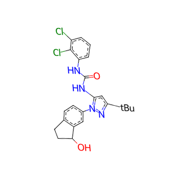 CC(C)(C)c1cc(NC(=O)Nc2cccc(Cl)c2Cl)n(-c2ccc3c(c2)C(O)CC3)n1